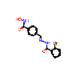 O=C(NO)c1ccc(C=NNC(=O)c2ccccc2Br)cc1